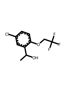 CC(O)c1cc(Cl)ccc1OCC(F)(F)F